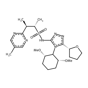 CO[C@H]1CCC[C@@H](OC)C1n1c(NS(=O)(=O)[C@@H](C)[C@H](C)c2ncc(C)cn2)nnc1[C@H]1CCCO1